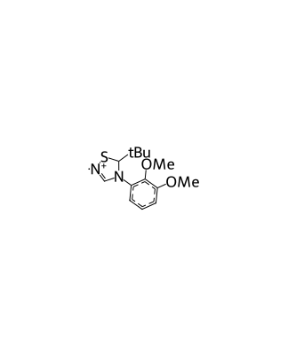 COc1cccc(N2C=[N+]SC2C(C)(C)C)c1OC